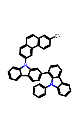 N#Cc1ccc2c(ccc3ccc(-n4c5ccccc5c5ccc(-c6cccc7c8ccccc8n(-c8ccccc8)c67)cc54)cc32)c1